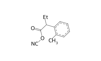 CCC(C(=O)OC#N)c1ccccc1C